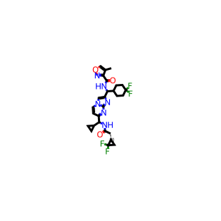 Cc1conc1C(=O)NC(c1cn2ccc(C(NC(=O)C[C@@H]3CC3(F)F)C3CC3)nc2n1)C1CCC(F)(F)CC1